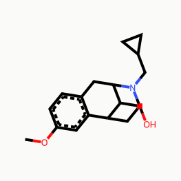 COc1ccc2c(c1)C1CCN(CC3CC3)C(C2)C1CO